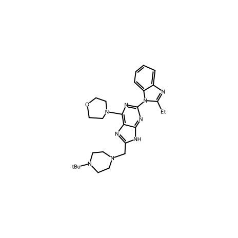 CCc1nc2ccccc2n1-c1nc(N2CCOCC2)c2nc(CN3CCN(C(C)(C)C)CC3)[nH]c2n1